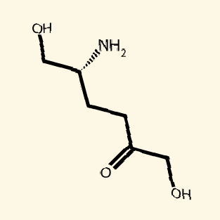 N[C@@H](CO)CCC(=O)CO